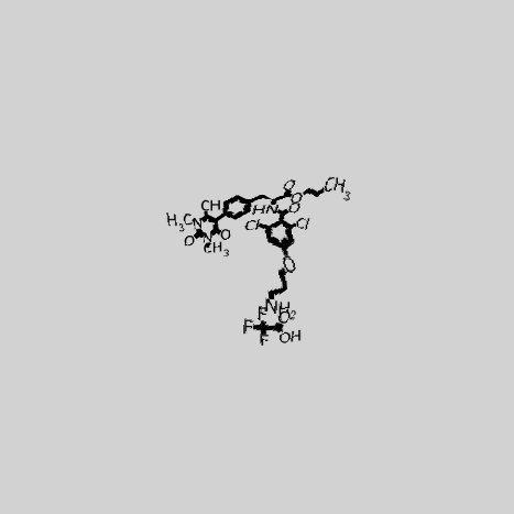 CCCOC(=O)[C@H](Cc1ccc(-c2c(C)n(C)c(=O)n(C)c2=O)cc1)NC(=O)c1c(Cl)cc(OCCCN)cc1Cl.O=C(O)C(F)(F)F